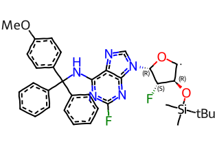 COc1ccc(C(Nc2nc(F)nc3c2ncn3[C@@H]2O[CH][C@@H](O[Si](C)(C)C(C)(C)C)[C@@H]2F)(c2ccccc2)c2ccccc2)cc1